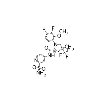 COc1c(N2C[C@@](C)(C(F)(F)F)C[C@@H]2C(=O)Nc2ccnc(S(N)(=O)=O)c2)ccc(F)c1F